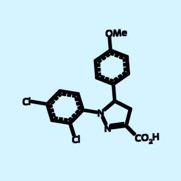 COc1ccc(C2CC(C(=O)O)=NN2c2ccc(Cl)cc2Cl)cc1